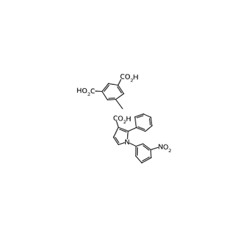 Cc1cc(C(=O)O)cc(C(=O)O)c1.O=C(O)c1ccn(-c2cccc([N+](=O)[O-])c2)c1-c1ccccc1